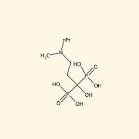 CCCN(C)CCC(O)(P(=O)(O)O)P(=O)(O)O